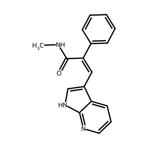 CNC(=O)/C(=C\c1c[nH]c2ncccc12)c1ccccc1